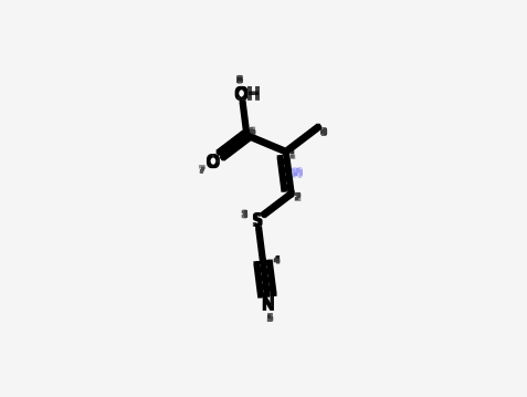 C/C(=C/SC#N)C(=O)O